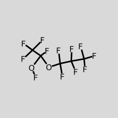 FOC(F)(OC(F)(F)C(F)(F)C(F)(F)F)C(F)(F)F